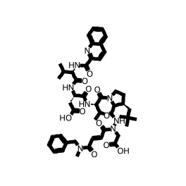 CC(C)[C@H](NC(=O)c1ccc2ccccc2n1)C(=O)N[C@@H](CC(=O)O)C(=O)N[C@H](C(=O)N1CC[C@@H](CC(C)(C)C)C1C(=O)NN(CC(=O)O)C(=O)/C=C/C(=O)N(C)Cc1ccccc1)C(C)C